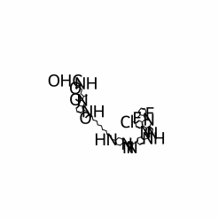 CC(CCC(=O)NC=O)N1Cc2c(NC(=O)CCCCCCCCCNC3CCC(n4cc(-c5ccc(Nc6ncc7c(n6)-c6ccc(Cl)cc6C(c6c(F)cccc6F)=NC7)cc5)nn4)CC3)cccc2C1=O